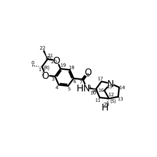 C[C@H]1Oc2ccc(C(=O)N[C@@H]3C[C@@H]4CCN(C4)C3)cc2O[C@@H]1C